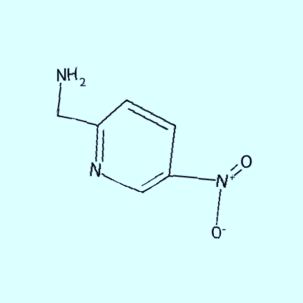 NCc1ccc([N+](=O)[O-])cn1